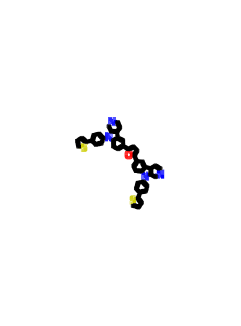 c1csc(-c2ccc(-n3c4ccc(-c5ccc(-c6ccc7c(c6)c6ccncc6n7-c6ccc(-c7cccs7)cc6)o5)cc4c4ccncc43)cc2)c1